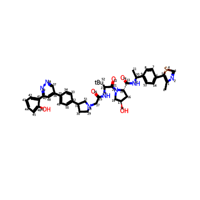 Cc1ncsc1-c1ccc(C(C)NC(=O)[C@@H]2C[C@@H](O)CN2C(=O)C(NC(=O)CN2CCC(c3ccc(-c4cnnc(-c5ccccc5O)c4)cc3)C2)C(C)(C)C)cc1